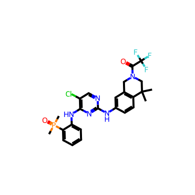 CC1(C)CN(C(=O)C(F)(F)F)Cc2cc(Nc3ncc(Cl)c(Nc4ccccc4P(C)(C)=O)n3)ccc21